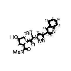 CNC(=O)[C@H]1CC(O)CN1C(=O)C(n1cc(-c2cnc3ccccc3c2)nn1)C(C)(C)C